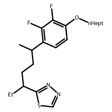 CCCCCCCOc1ccc(C(C)CCC(CC)c2nncs2)c(F)c1F